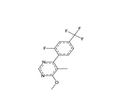 COc1ncnc(-c2ccc(C(F)(F)F)cc2F)c1C